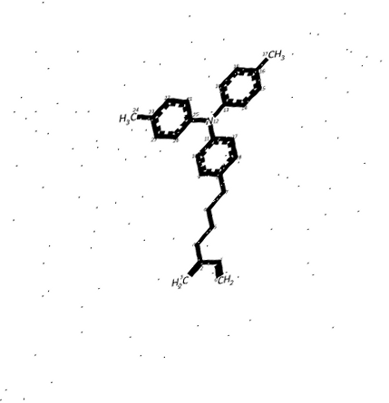 C=CC(=C)CCCCc1ccc(N(c2ccc(C)cc2)c2ccc(C)cc2)cc1